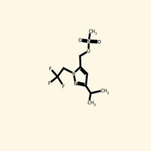 CC(C)c1cc(COS(C)(=O)=O)n(CC(F)(F)F)n1